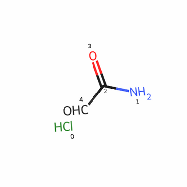 Cl.NC(=O)C=O